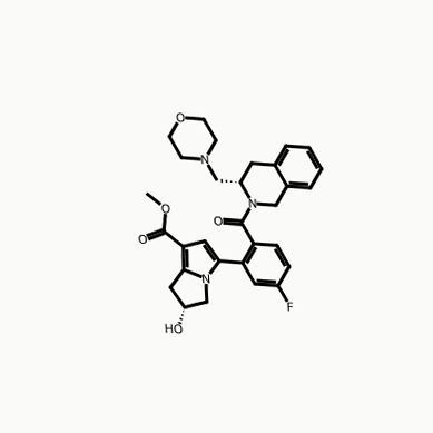 COC(=O)c1cc(-c2cc(F)ccc2C(=O)N2Cc3ccccc3C[C@H]2CN2CCOCC2)n2c1C[C@@H](O)C2